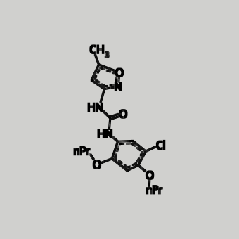 CCCOc1cc(OCCC)c(NC(=O)Nc2cc(C)on2)cc1Cl